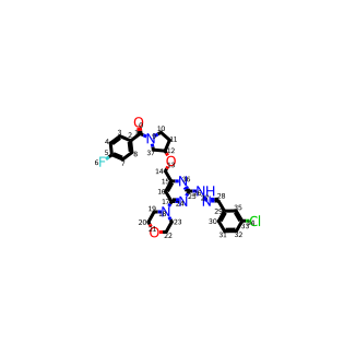 O=C(c1ccc(F)cc1)N1CCC(OCc2cc(N3CCOCC3)nc(NN=Cc3cccc(Cl)c3)n2)C1